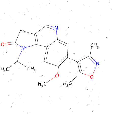 COc1cc2c3c(cnc2cc1-c1c(C)noc1C)CC(=O)N3C(C)C